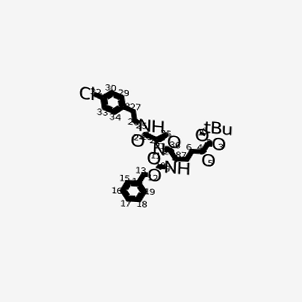 CC(C)(C)OC(=O)C(=O)CCC(NC(=O)OCc1ccccc1)c1nc(C(=O)NCCc2ccc(Cl)cc2)co1